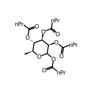 CCCC(=O)OC1O[C@@H](C)[C@H](OC(=O)CCC)[C@@H](OC(=O)CCC)[C@H]1OC(=O)CCC